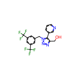 OCc1nnn(Cc2cc(C(F)(F)F)cc(C(F)(F)F)c2)c1-c1cccnc1